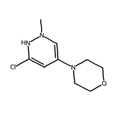 CN1C=C(N2CCOCC2)C=C(Cl)N1